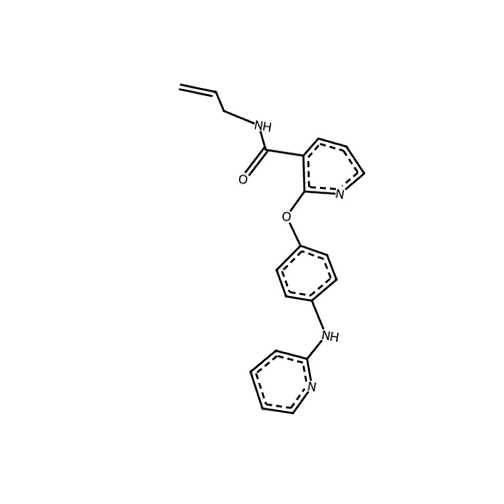 C=CCNC(=O)c1cccnc1Oc1ccc(Nc2ccccn2)cc1